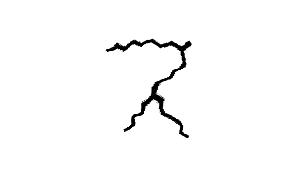 C=C(CCCC=C(CCCCC)CCCCC)CCCCCCCC